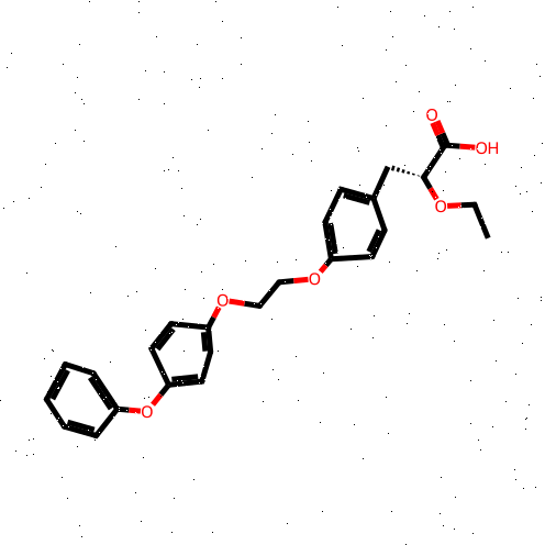 CCO[C@H](Cc1ccc(OCCOc2ccc(Oc3ccccc3)cc2)cc1)C(=O)O